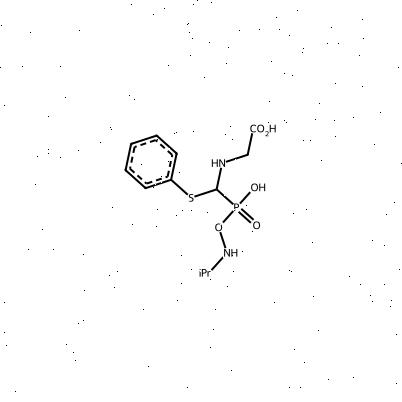 CC(C)NOP(=O)(O)C(NCC(=O)O)Sc1ccccc1